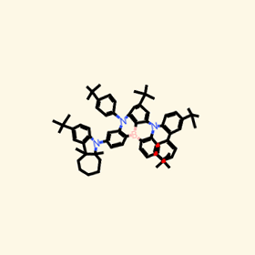 CC(C)(C)c1ccc(N2c3cc(N4c5ccc(C(C)(C)C)cc5C5(C)CCCCCC45C)ccc3B3c4ccc(C(C)(C)C)cc4N(c4ccc(C(C)(C)C)cc4-c4ccccc4)c4cc(C(C)(C)C)cc2c43)cc1